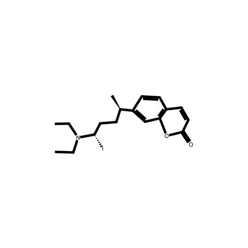 CCN(CC)[C@@H](I)CC[C@@H](C)c1ccc2ccc(=O)oc2c1